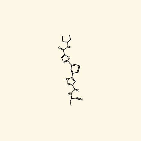 CCC(C#N)NC(=O)c1cc(-c2cccc(-c3ncc(C(=O)NC(CC)CC)o3)c2)[nH]n1